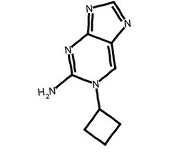 Nc1nc2ncnc-2cn1C1CCC1